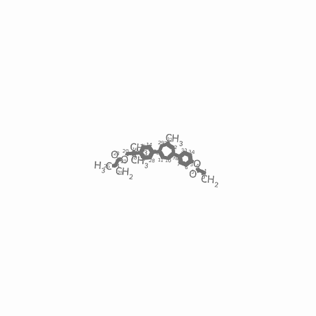 C=CC(=O)Oc1ccc(C2=CC=C(c3ccc(C(C)(C)COC(=O)C(=C)C)cc3)CC(C)=C2)cc1